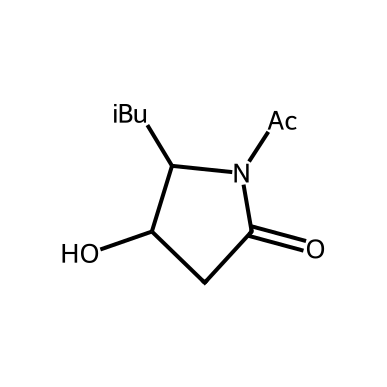 CCC(C)C1C(O)CC(=O)N1C(C)=O